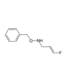 FC=CCNOCc1ccccc1